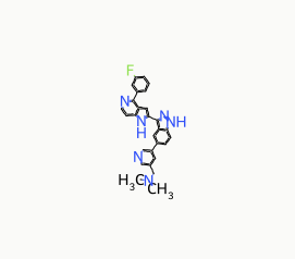 CN(C)Cc1cncc(-c2ccc3[nH]nc(-c4cc5c(-c6cccc(F)c6)nccc5[nH]4)c3c2)c1